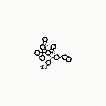 CC(C)(C)c1ccc(N(c2ccc(-c3ccc4ccccc4c3)cc2)c2cc3c(c4c2oc2ccccc24)-c2c(ccc4c2oc2ccccc24)C3(c2ccccc2)c2ccccc2)cc1